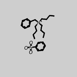 CCCC[N+](CCCC)(CCCC)Cc1ccccc1.O=S(=O)([O-])c1ccccc1